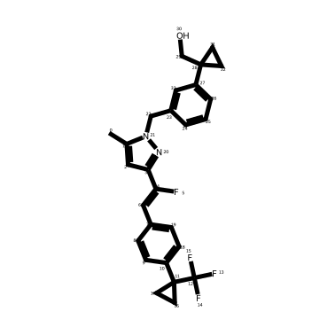 Cc1cc(C(F)=Cc2ccc(C3(C(F)(F)F)CC3)cc2)nn1Cc1cccc(C2(CO)CC2)c1